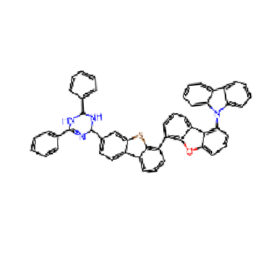 c1ccc(C2=NC(c3ccc4c(c3)sc3c(-c5cccc6c5oc5cccc(-n7c8ccccc8c8ccccc87)c56)cccc34)NC(c3ccccc3)N2)cc1